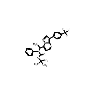 CC(c1ccnc2c(-c3ccc(C(F)(F)F)cc3)cnn12)N(C(=O)OC(C)(C)C)c1ccccc1